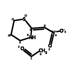 CC=O.O=[N+]([O-])C=C1NCCCS1